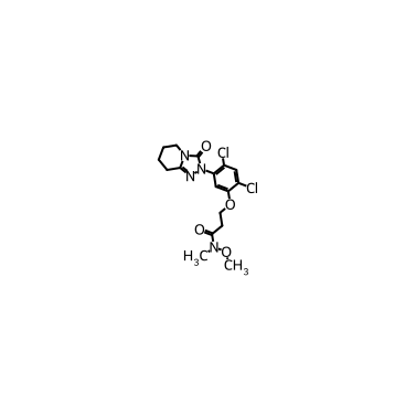 CON(C)C(=O)CCOc1cc(-n2nc3n(c2=O)CCCC3)c(Cl)cc1Cl